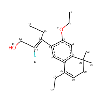 CCOc1cc2c(cc1C(CC)=C(F)CO)C(CC)=CCC2(C)C